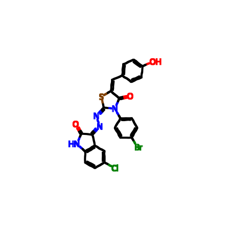 O=C1Nc2ccc(Cl)cc2C1=NN=C1SC(=Cc2ccc(O)cc2)C(=O)N1c1ccc(Br)cc1